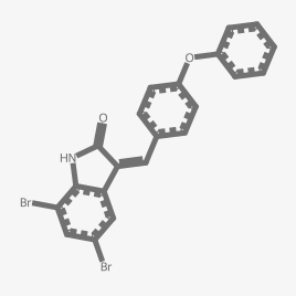 O=C1Nc2c(Br)cc(Br)cc2C1=Cc1ccc(Oc2ccccc2)cc1